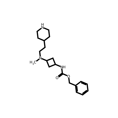 CN(CCC1CCNCC1)C1CC(NC(=O)OCc2ccccc2)C1